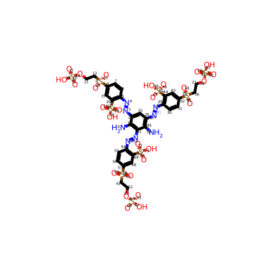 Nc1c(N=Nc2ccc(S(=O)(=O)CCOS(=O)(=O)O)cc2S(=O)(=O)O)cc(/N=N/c2ccc(S(=O)(=O)CCOS(=O)(=O)O)cc2S(=O)(=O)O)c(N)c1/N=N/c1ccc(S(=O)(=O)CCOS(=O)(=O)O)cc1S(=O)(=O)O